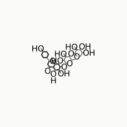 CC1OC(Oc2cc3oc(-c4ccc(O)cc4)cc(=O)c3c(O)c2O)C(O)C(O)C1OC1OCC(O)C(O)C1O